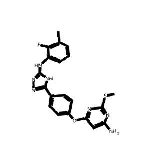 CSc1nc(N)cc(Oc2ccc(-c3nnc(Nc4cccc(C)c4F)[nH]3)cc2)n1